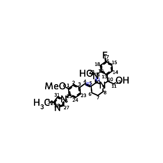 COc1cc(/C=C2\CCCN(C(CO)c3ccc(F)cc3)\C2=N\O)ccc1-n1cnc(C)c1